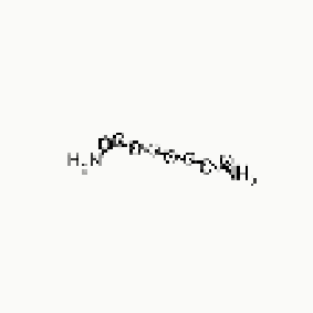 NCc1cccc(OCCOCCOCCOCCOCCOCCC(N)=O)c1